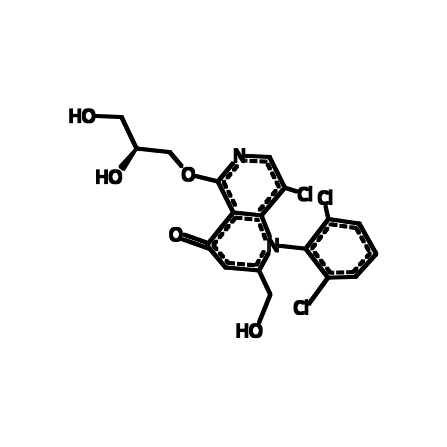 O=c1cc(CO)n(-c2c(Cl)cccc2Cl)c2c(Cl)cnc(OC[C@@H](O)CO)c12